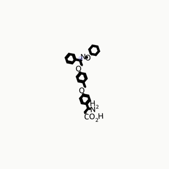 NC(CC(=O)O)c1ccc(OCc2ccc(OC/C(=N\OC3CCCCC3)c3ccccc3)cc2)cc1